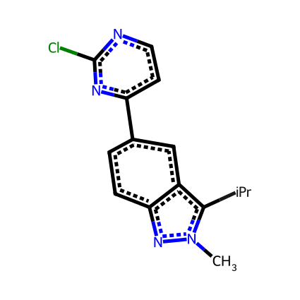 CC(C)c1c2cc(-c3ccnc(Cl)n3)ccc2nn1C